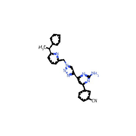 CC(c1ccccc1)c1cccc(Cn2cc(-c3cc(-c4cccc(C#N)c4)nc(N)n3)nn2)n1